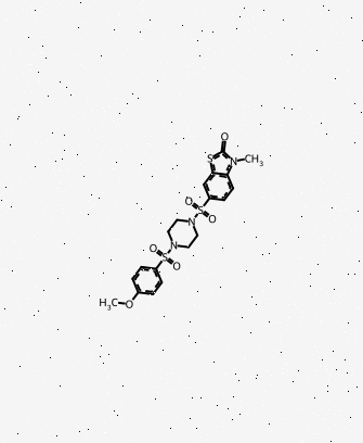 COc1ccc(S(=O)(=O)N2CCN(S(=O)(=O)c3ccc4c(c3)sc(=O)n4C)CC2)cc1